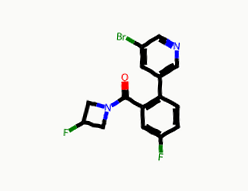 O=C(c1cc(F)ccc1-c1cncc(Br)c1)N1CC(F)C1